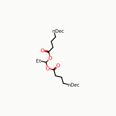 [CH2]CC(OC(=O)CCCCCCCCCCCCC)OC(=O)CCCCCCCCCCCCC